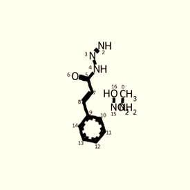 CN.N=NNC(=O)/C=C/c1ccccc1.O=[N+]([O-])O